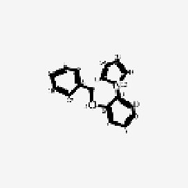 c1ccc(COc2ccccc2-n2cccc2)cc1